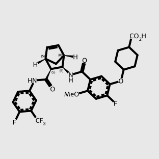 COc1cc(F)c(OC2CCC(C(=O)O)CC2)cc1C(=O)N[C@H]1[C@@H](C(=O)Nc2ccc(F)c(C(F)(F)F)c2)[C@@H]2C=C[C@H]1C2